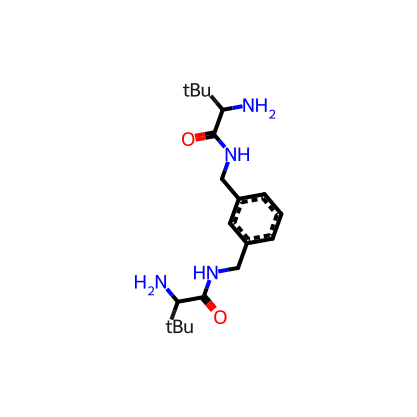 CC(C)(C)C(N)C(=O)NCc1cccc(CNC(=O)C(N)C(C)(C)C)c1